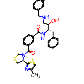 COc1cccc(CNC[C@@H](O)[C@H](Cc2ccccc2)NC(=O)c2cccc(C(=O)N3CSC[C@@H]3c3nc(C)cs3)c2)c1